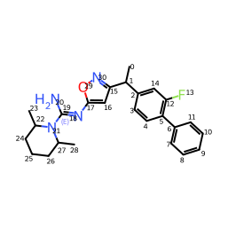 CC(c1ccc(-c2ccccc2)c(F)c1)c1cc(/N=C(\N)N2C(C)CCCC2C)on1